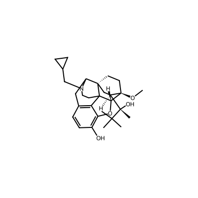 CO[C@]12CC[C@@]3(C[C@@H]1[C@](C)(O)C(C)(C)C)C1Cc4ccc(O)c5c4C3(CCN1CC1CC1)[C@H]2O5